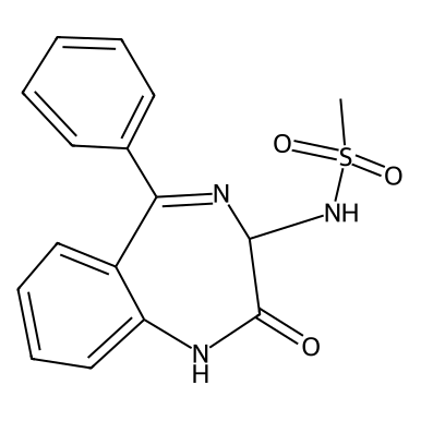 CS(=O)(=O)NC1N=C(c2ccccc2)c2ccccc2NC1=O